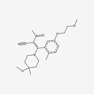 COCCOc1ccc(C)c(/C(=C(/C#N)C(C)=O)N2CCC(C)(OC)CC2)c1